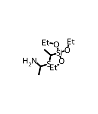 CCO[Si](OCC)(OCC)C(C)SC(C)N